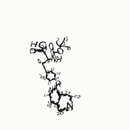 CC(C)(C)OC(=O)NC(Cc1ccc(Oc2nccc3cnccc23)cc1)C(=O)O